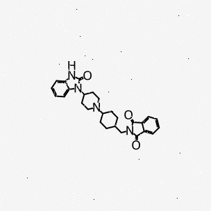 O=C1c2ccccc2C(=O)N1CC1CCC(N2CCC(n3c(=O)[nH]c4ccccc43)CC2)CC1